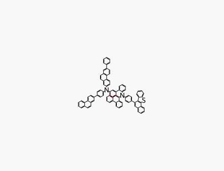 c1ccc(-c2ccc3c(ccc4cc(N(c5ccc(-c6ccc7c(ccc8ccccc87)c6)cc5)c5cccc(-c6ccccc6N(c6ccc(-c7cc8ccccc8c8sc9ccccc9c78)cc6)c6cc7ccccc7c7ccccc67)c5)ccc43)c2)cc1